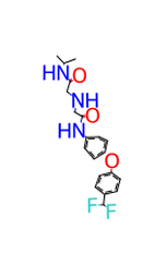 CC(C)NC(=O)CNCC(=O)Nc1ccc(Oc2ccc(C(F)F)cc2)cc1